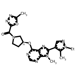 CCn1ncc(-c2nc3c(O[C@H]4CCN(C(=O)c5nnc(C)o5)C4)ncnc3n2C)c1C